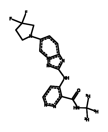 [2H]C([2H])([2H])NC(=O)c1nnccc1Nc1nc2ccc(N3CCC(F)(F)C3)cn2n1